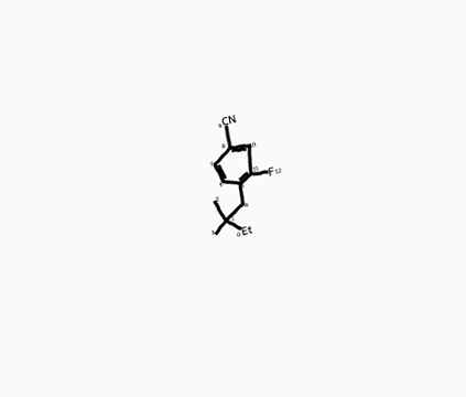 CCC(C)(C)Cc1ccc(C#N)cc1F